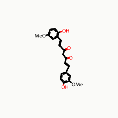 COc1ccc(O)c(C=CC(=O)CC(=O)C=Cc2ccc(O)c(OC)c2)c1